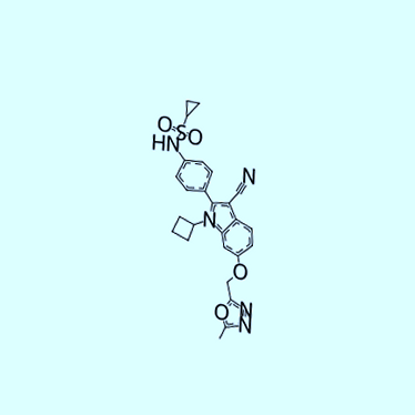 Cc1nnc(COc2ccc3c(C#N)c(-c4ccc(NS(=O)(=O)C5CC5)cc4)n(C4CCC4)c3c2)o1